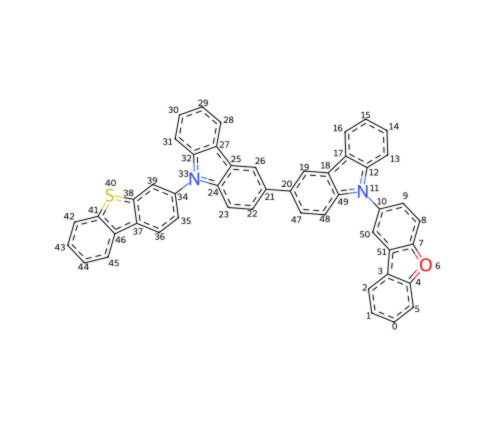 c1ccc2c(c1)oc1ccc(-n3c4ccccc4c4cc(-c5ccc6c(c5)c5ccccc5n6-c5ccc6c(c5)sc5ccccc56)ccc43)cc12